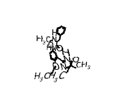 CCCOc1ccc(NC(=O)C(Cc2ccccc2)NC(C)=O)cc1-c1nc(CC)c(CC)c(=O)[nH]1